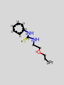 CC(C)CCOCCNC(=S)Nc1ccccc1